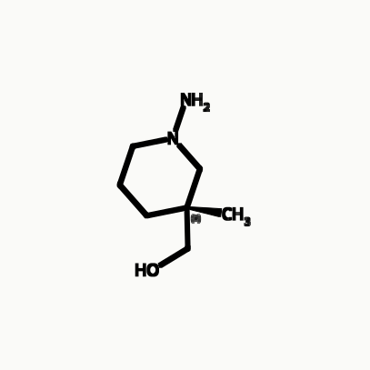 C[C@@]1(CO)CCCN(N)C1